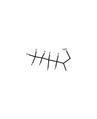 CC(CO)C(F)(F)C(F)(F)C(F)(F)C(F)(F)F